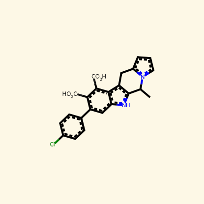 CC1c2[nH]c3cc(-c4ccc(Cl)cc4)c(C(=O)O)c(C(=O)O)c3c2Cc2cccn21